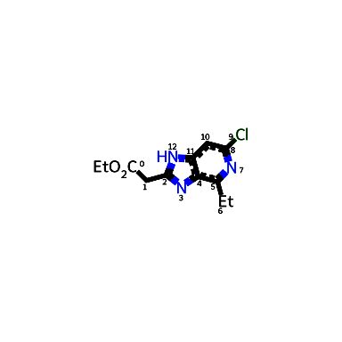 CCOC(=O)Cc1nc2c(CC)nc(Cl)cc2[nH]1